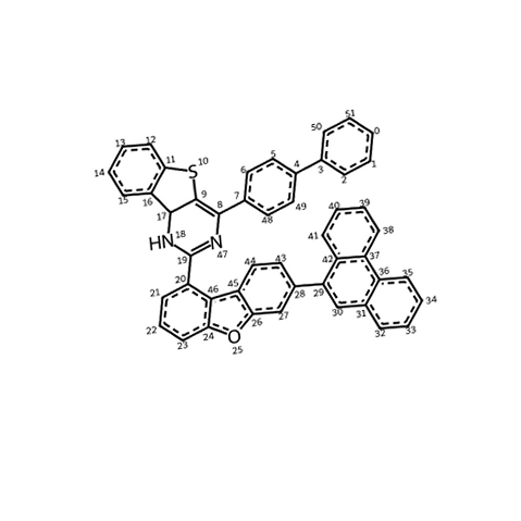 c1ccc(-c2ccc(C3=C4Sc5ccccc5C4NC(c4cccc5oc6cc(-c7cc8ccccc8c8ccccc78)ccc6c45)=N3)cc2)cc1